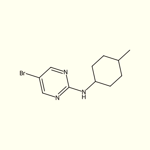 CC1CCC(Nc2ncc(Br)cn2)CC1